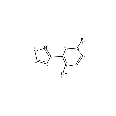 CCc1ccc(O)c(-c2cc[nH]n2)c1